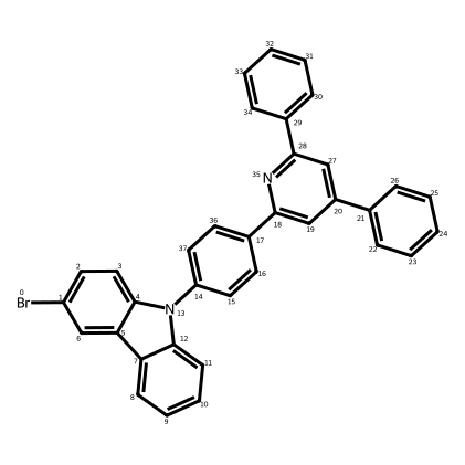 Brc1ccc2c(c1)c1ccccc1n2-c1ccc(-c2cc(-c3ccccc3)cc(-c3ccccc3)n2)cc1